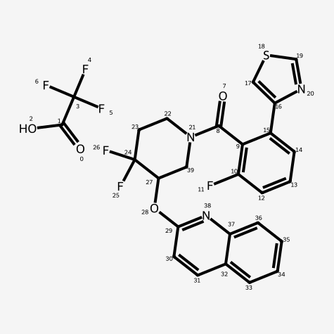 O=C(O)C(F)(F)F.O=C(c1c(F)cccc1-c1cscn1)N1CCC(F)(F)C(Oc2ccc3ccccc3n2)C1